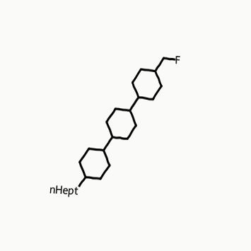 CCCCCCCC1CCC(C2CCC(C3CCC(CF)CC3)CC2)CC1